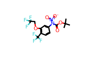 CC(C)(C)OC(=O)N(c1ccc(C(F)(F)F)c(OCC(F)(F)F)c1)[N+](=O)[O-]